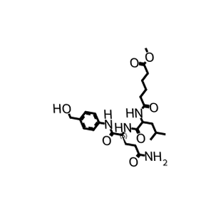 COC(=O)CCCCC(=O)NC(CC(C)C)C(=O)N[C@@H](CCC(N)=O)C(=O)Nc1ccc(CO)cc1